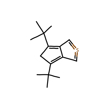 CC(C)(C)C1=C2C=S=CC2=C(C(C)(C)C)C1